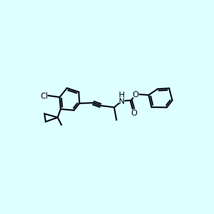 CC(C#Cc1ccc(Cl)c(C2(C)CC2)c1)NC(=O)Oc1ccccc1